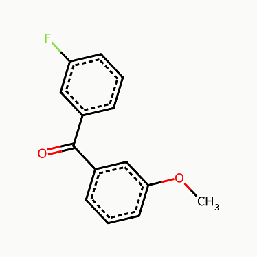 COc1cccc(C(=O)c2cccc(F)c2)c1